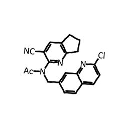 CC(=O)N(Cc1ccc2ccc(Cl)nc2c1)c1nc2c(cc1C#N)CCC2